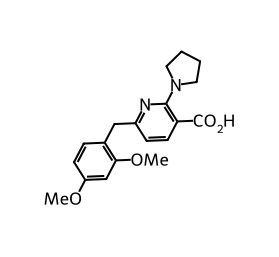 COc1ccc(Cc2ccc(C(=O)O)c(N3CCCC3)n2)c(OC)c1